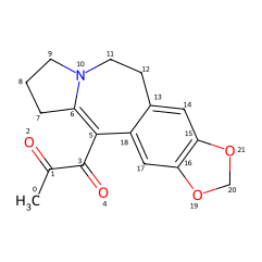 CC(=O)C(=O)C1=C2CCCN2CCc2cc3c(cc21)OCO3